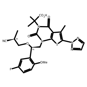 COc1ccc(F)cc1[C@H](Cn1c(=O)n(C(C)(C)C(=O)O)c(=O)c2c(C)c(-n3nccn3)sc21)OC[C@H](C)C#N